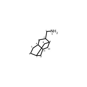 NCC1CC2CCC3CC1CC2C3